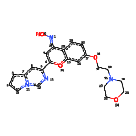 ON=c1cc(-c2cc3cccn3cn2)oc2cc(OCCN3CCOCC3)ccc12